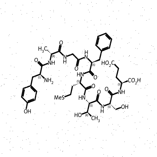 CSCC[C@H](NC(=O)[C@H](Cc1ccccc1)NC(=O)CNC(=O)[C@@H](C)NC(=O)[C@@H](N)Cc1ccc(O)cc1)C(=O)N[C@H](C(=O)N[C@@H](CO)C(=O)N[C@@H](CCC(=O)O)C(=O)O)[C@@H](C)O